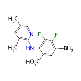 Bc1cc(C(=O)O)c(Nc2ncc(C)cc2C)c(F)c1F